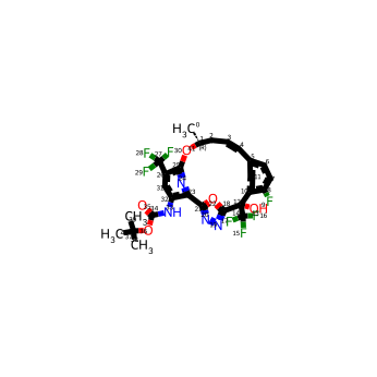 C[C@@H]1CC=Cc2ccc(F)c(c2)C(O)(C(F)(F)F)c2nnc(o2)-c2nc(c(C(F)(F)F)cc2NC(=O)OC(C)(C)C)O1